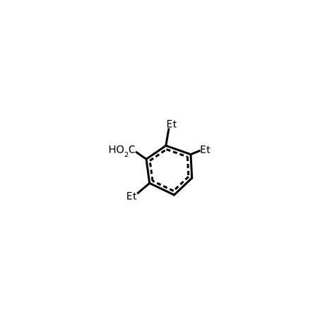 CCc1ccc(CC)c(C(=O)O)c1CC